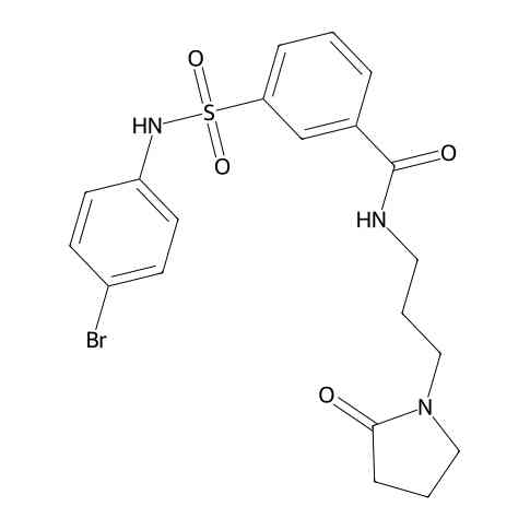 O=C(NCCCN1CCCC1=O)c1cccc(S(=O)(=O)Nc2ccc(Br)cc2)c1